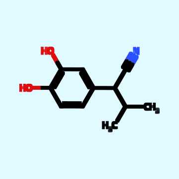 CC(C)C(C#N)c1ccc(O)c(O)c1